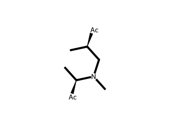 CC(=O)[C@H](C)CN(C)[C@H](C)C(C)=O